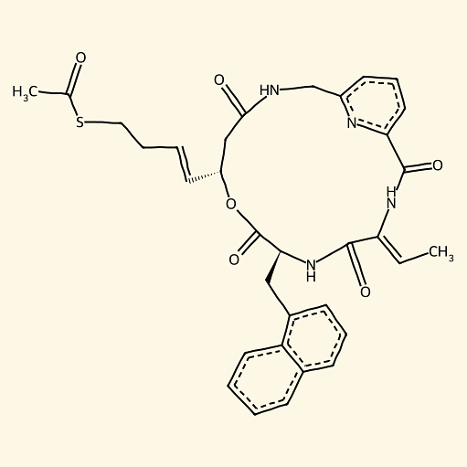 C/C=C1\NC(=O)c2cccc(n2)CNC(=O)C[C@@H](/C=C/CCSC(C)=O)OC(=O)[C@H](Cc2cccc3ccccc23)NC1=O